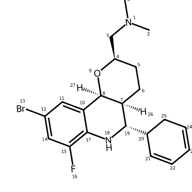 CN(C)C[C@H]1CC[C@@H]2[C@H](O1)c1cc(Br)cc(F)c1N[C@H]2C1C=CC=CC1